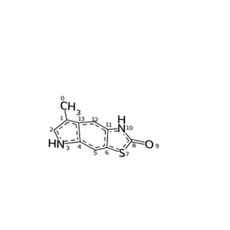 Cc1c[nH]c2cc3sc(=O)[nH]c3cc12